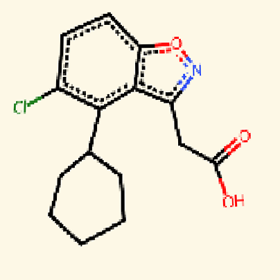 O=C(O)Cc1noc2ccc(Cl)c(C3CCCCC3)c12